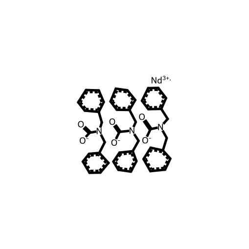 O=C([O-])N(Cc1ccccc1)Cc1ccccc1.O=C([O-])N(Cc1ccccc1)Cc1ccccc1.O=C([O-])N(Cc1ccccc1)Cc1ccccc1.[Nd+3]